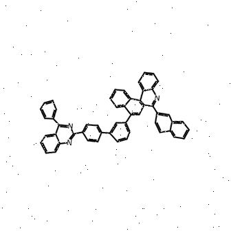 c1ccc(-c2nc(-c3ccc(-c4cccc(-c5cc6c(-c7ccc8ccccc8c7)nc7ccccc7c6c6ccccc56)c4)cc3)nc3ccccc23)cc1